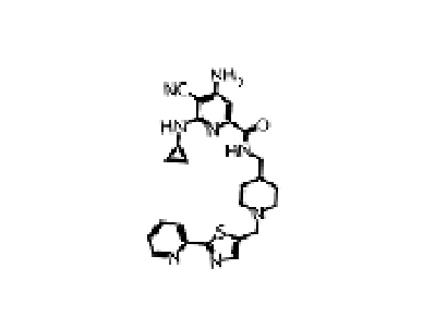 N#Cc1c(N)cc(C(=O)NCC2CCN(Cc3cnc(-c4ccccn4)s3)CC2)nc1NC1CC1